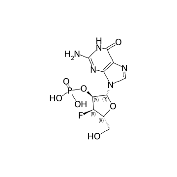 Nc1nc2c(ncn2[C@@H]2O[C@H](CO)[C@@H](F)[C@H]2OP(=O)(O)O)c(=O)[nH]1